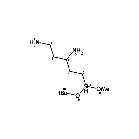 CO[SiH](CCC(N)CCN)OC(C)(C)C